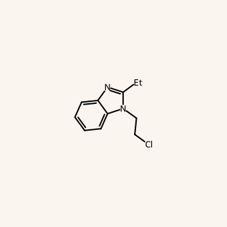 CCc1nc2ccccc2n1CCCl